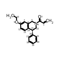 C=CC(=O)N1Cc2cc(OCC)ccc2[C@H](c2ccccc2)C1